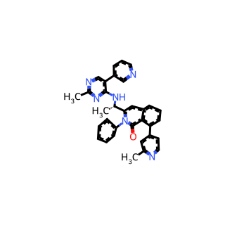 Cc1cc(-c2cccc3cc([C@H](C)Nc4nc(C)ncc4-c4cccnc4)n(-c4ccccc4)c(=O)c23)ccn1